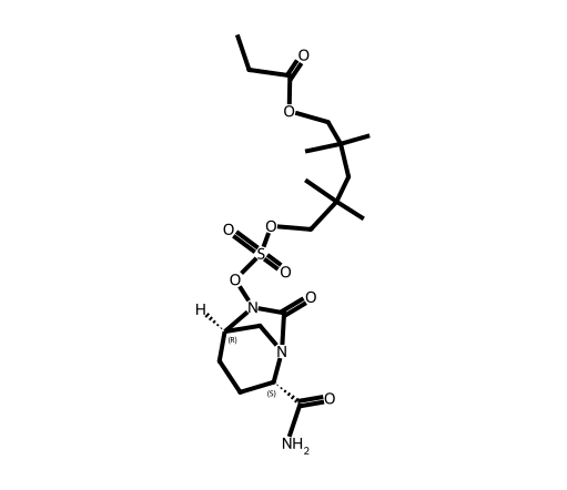 CCC(=O)OCC(C)(C)CC(C)(C)COS(=O)(=O)ON1C(=O)N2C[C@H]1CC[C@H]2C(N)=O